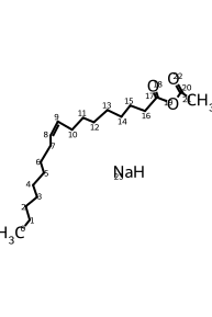 CCCCCCCC/C=C\CCCCCCCC(=O)OC(C)=O.[NaH]